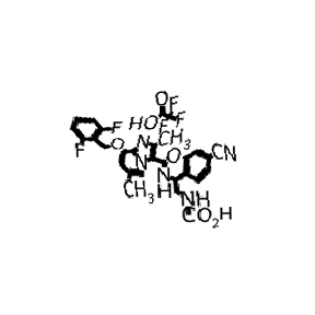 Cc1cc(OCc2c(F)cccc2F)c2nc(C)c(C(=O)NC(CNC(=O)O)c3ccc(C#N)cc3)n2c1.O=C(O)C(F)(F)F